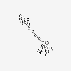 Cc1ccc(F)cc1C(C(=O)Nc1nccs1)N1Cc2cccc(C#CCOCCOCCOCCOc3ccc4c(c3)C(=O)N(C3CCC(=O)NC3=O)C4=O)c2C1=O